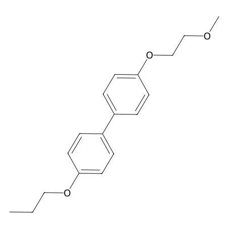 CCCOc1ccc(-c2ccc(OCCOC)cc2)cc1